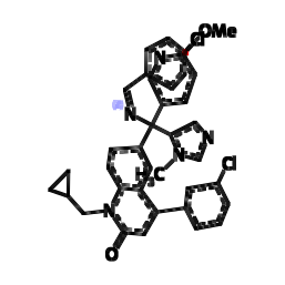 COc1ccc(/C=N\C(c2ccc(Cl)nc2)(c2ccc3c(c2)c(-c2cccc(Cl)c2)cc(=O)n3CC2CC2)c2cncn2C)cc1